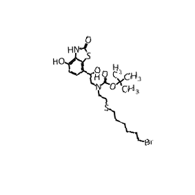 CC(C)(C)OC(=O)N(CCSCCCCCCBr)C[C@H](O)c1ccc(O)c2[nH]c(=O)sc12